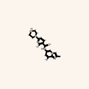 Cc1cn2cc(NC(=O)c3ccc(N4CCNCC4)nc3F)cc(F)c2n1